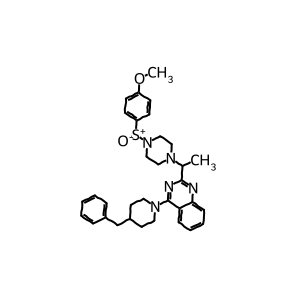 COc1ccc([S+]([O-])N2CCN(C(C)c3nc(N4CCC(Cc5ccccc5)CC4)c4ccccc4n3)CC2)cc1